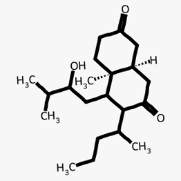 CCCC(C)C1C(=O)C[C@@H]2CC(=O)CC[C@]2(C)C1CC(O)C(C)C